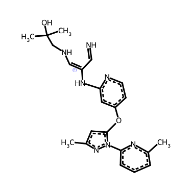 Cc1cccc(-n2nc(C)cc2Oc2ccnc(N/C(C=N)=C/NCC(C)(C)O)c2)n1